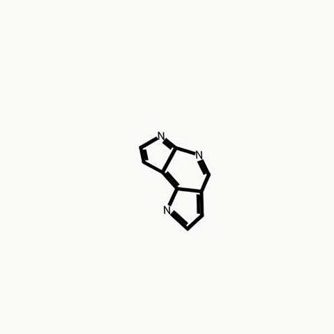 C1=Cc2c3c(cnc2=N1)=CC=N3